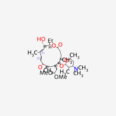 CC[C@H]1OC(=O)CC[C@H](C)[C@@H](OC2OC(C)CC(N(C)C)C2C)[C@@H](CC(OC)OC)C[C@@H](C)C(=O)/C=C/C(C)=C/[C@@H]1CO